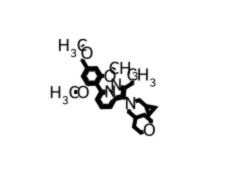 CCc1nn2c(-c3c(OC)cc(COC)cc3OC)cccc2c1N(CC1CCOCC1)CC1CC1